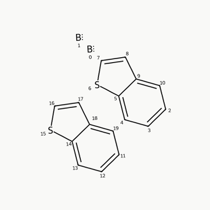 [B].[B].c1ccc2sccc2c1.c1ccc2sccc2c1